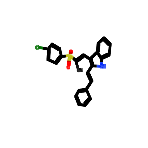 N#CC(=Cc1c(C=Cc2ccccc2)[nH]c2ccccc12)S(=O)(=O)c1ccc(Cl)cc1